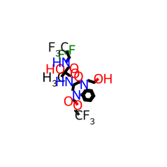 CC(O)(C(=O)NCC(F)(F)C(F)(F)F)C(=O)NC1CN(C(=O)OCC(F)(F)F)c2ccccc2N(CCO)C1=O